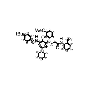 COc1ccccc1Oc1c(NSc2ccc(C(C)(C)C)cc2)nc(N2CCOCC2)nc1OCCC(=O)Nc1ccccc1C(C)C